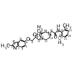 Cc1nc2ccc(OC[C@H](O)CN3CCN(CC(=O)Nc4c(C)cccc4C)C[C@@H]3C)cc2s1